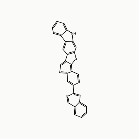 c1ccc2cc(-c3ccc4c(ccc5c6cc7c(cc6sc45)[nH]c4ccccc47)c3)ncc2c1